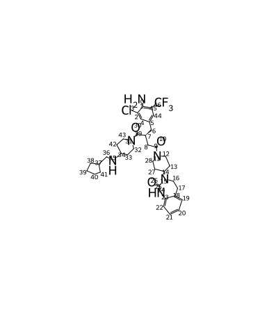 Nc1c(Cl)cc(C[C@@H](CC(=O)N2CCC(N3CCc4ccccc4NC3=O)CC2)C(=O)N2CCC(NCC3CCCC3)CC2)cc1C(F)(F)F